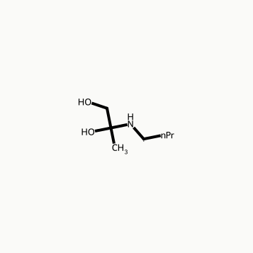 CCC[CH]NC(C)(O)CO